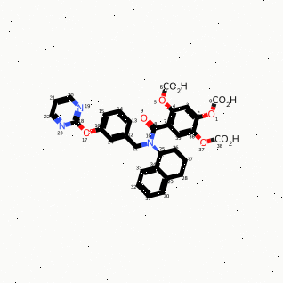 O=C(O)Oc1cc(OC(=O)O)c(C(=O)N(Cc2cccc(Oc3ncccn3)c2)[C@H]2CCCc3ccccc32)cc1OC(=O)O